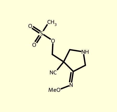 CON=C1CNCC1(C#N)COS(C)(=O)=O